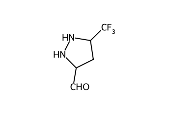 O=CC1CC(C(F)(F)F)NN1